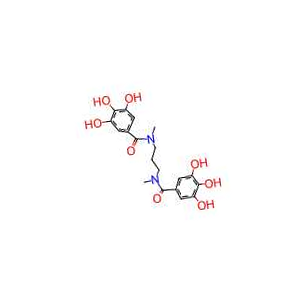 CN(CCCN(C)C(=O)c1cc(O)c(O)c(O)c1)C(=O)c1cc(O)c(O)c(O)c1